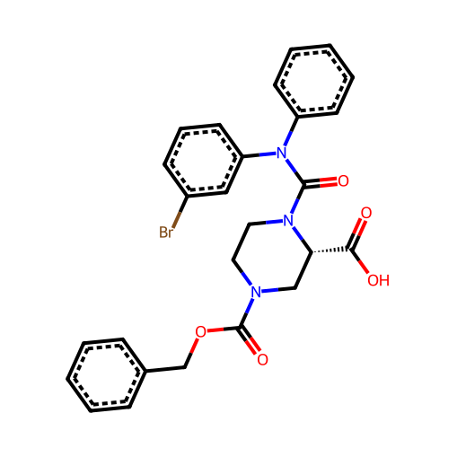 O=C(O)[C@@H]1CN(C(=O)OCc2ccccc2)CCN1C(=O)N(c1ccccc1)c1cccc(Br)c1